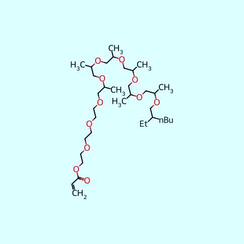 C=CC(=O)OCCOCCOCCOCC(C)OCC(C)OCC(C)OCC(C)OCC(C)OCC(C)OCC(CC)CCCC